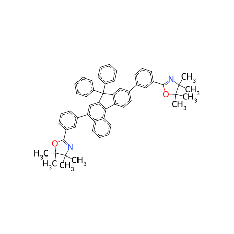 CC1(C)N=C(c2cccc(-c3ccc4c(c3)C(c3ccccc3)(c3ccccc3)c3cc(-c5cccc(C6=NC(C)(C)C(C)(C)O6)c5)c5ccccc5c3-4)c2)OC1(C)C